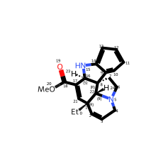 CC[C@@]12C=CCN3CC[C@]4(c5ccccc5N[C@@H]4C(C(=O)OC)=C1)[C@H]32